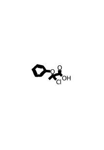 CC(Cl)(Oc1ccccc1)C(=O)O